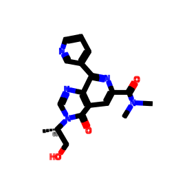 C[C@@H](CO)n1cnc2c(-c3cccnc3)nc(C(=O)N(C)C)cc2c1=O